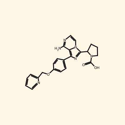 Nc1nccn2c(C3CCCN3C(=O)O)nc(-c3ccc(OCc4ccccn4)cc3)c12